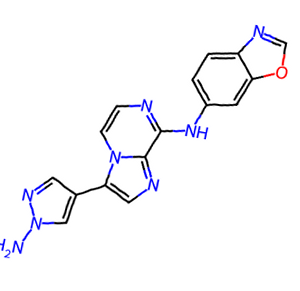 Nn1cc(-c2cnc3c(Nc4ccc5ncoc5c4)nccn23)cn1